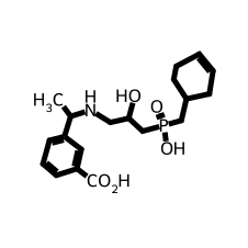 CC(NCC(O)CP(=O)(O)CC1CC=CCC1)c1cccc(C(=O)O)c1